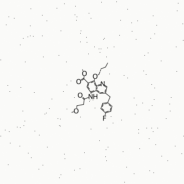 CCCCOc1c(C(=O)OC)cc(NC(=O)CCOC)c2cc(Cc3ccc(F)cc3)cnc12